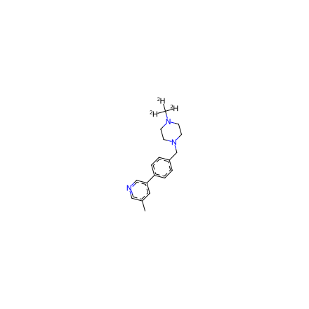 [2H]C([2H])([2H])N1CCN(Cc2ccc(-c3cncc(C)c3)cc2)CC1